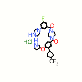 Cl.O=C(c1cc(F)cc(N2CCNCC2)c1)N1CCN(C(=O)c2ccc(OC3CCNC3)c(C3CCC(C(F)(F)F)CC3)c2)CC1